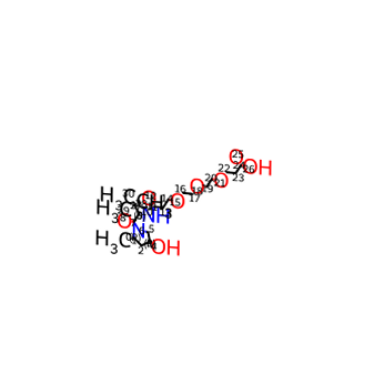 C[C@@H]1C[C@@H](O)CN1C(=O)[C@@H](NC(=O)CCOCCOCCOCCC(=O)O)C(C)(C)C